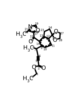 CCOC(=O)C#CC(C)c1ccc2c(c1C(=O)c1ocnc1C)CCC21OCCO1